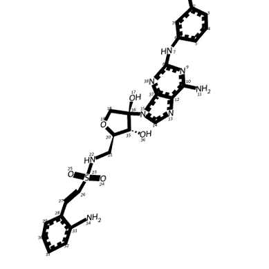 NCc1cccc(Nc2nc(N)c3ncn([C@@]4(O)CO[C@H](CNS(=O)(=O)/C=C/c5ccccc5N)[C@H]4O)c3n2)c1